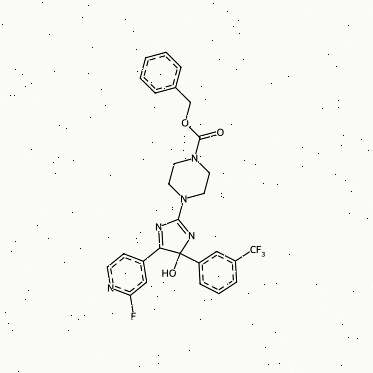 O=C(OCc1ccccc1)N1CCN(C2=NC(O)(c3cccc(C(F)(F)F)c3)C(c3ccnc(F)c3)=N2)CC1